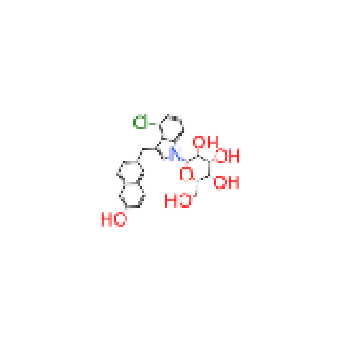 OC[C@H]1O[C@@H](n2cc(Cc3ccc4cc(O)ccc4c3)c3c(Cl)cccc32)[C@H](O)[C@@H](O)[C@@H]1O